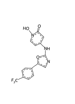 O=c1cc(Nc2ncc(-c3ccc(C(F)(F)F)cc3)o2)ccn1O